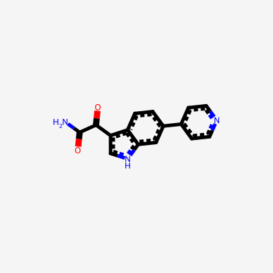 NC(=O)C(=O)c1c[nH]c2cc(-c3ccncc3)ccc12